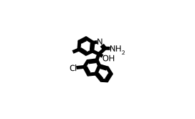 Cc1ccc2c(c1)C(O)(c1cc(Cl)cc3ccccc13)C(N)=N2